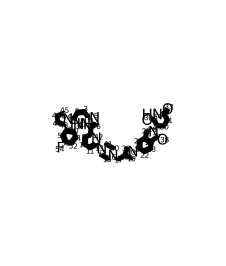 N=C(/C=C\c1ncc(-c2cccc(N3CCN(CC4CN(c5ccc6c(c5)CN(C5CCC(=O)NC5=O)C6=O)C4)CC3)n2)[nH]1)N1CCC[C@@H]1c1cccc(F)c1